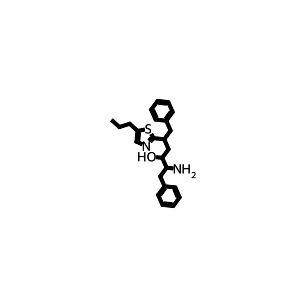 CCCc1cnc(C(Cc2ccccc2)CC(O)C(N)Cc2ccccc2)s1